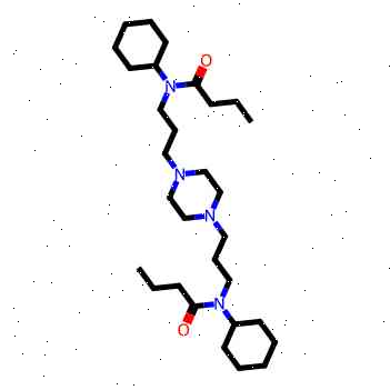 CCCC(=O)N(CCCN1CCN(CCCN(C(=O)CCC)C2CCCCC2)CC1)C1CCCCC1